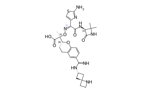 CC1(C)NC(=O)[C@H]1NC(=O)/C(=N\O[C@](C)(C(=O)O)[C@H]1CCc2cc(C(=N)N[C@H]3C[C@@]4(CCN4)C3)ccc2O1)c1csc(N)n1